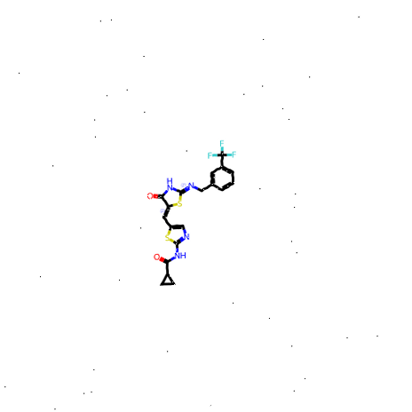 O=C1N/C(=N/Cc2cccc(C(F)(F)F)c2)S/C1=C\c1cnc(NC(=O)C2CC2)s1